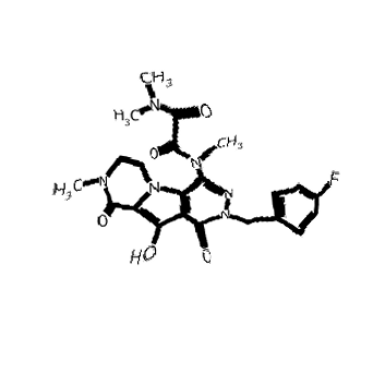 CN(C)C(=O)C(=O)N(C)c1nn(Cc2ccc(F)cc2)c(=O)c2c(O)c3n(c12)CCN(C)C3=O